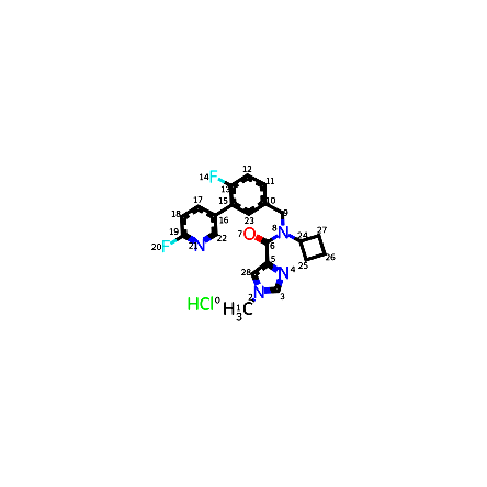 Cl.Cn1cnc(C(=O)N(Cc2ccc(F)c(-c3ccc(F)nc3)c2)C2CCC2)c1